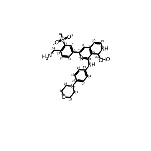 CS(=O)(=O)c1cc(-c2cc3c(c(Nc4ccc(N5CCOCC5)cc4)n2)C(C=O)NC=C3)ccc1CN